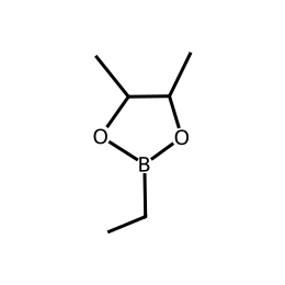 CCB1OC(C)C(C)O1